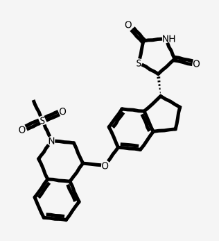 CS(=O)(=O)N1Cc2ccccc2C(Oc2ccc3c(c2)CC[C@H]3C2SC(=O)NC2=O)C1